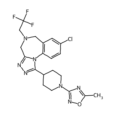 Cc1nc(N2CCC(c3nnc4n3-c3ccc(Cl)cc3CN(CC(F)(F)F)C4)CC2)no1